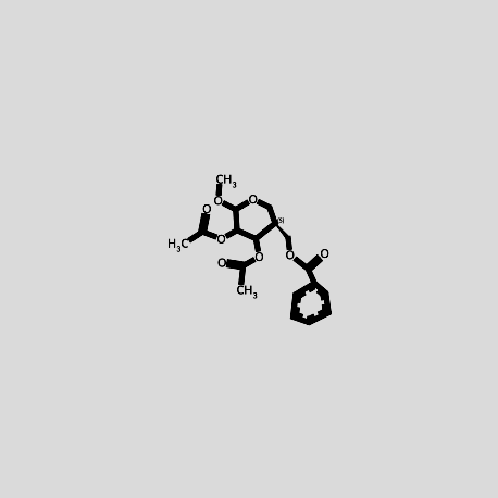 COC1OC[C@@H](COC(=O)c2ccccc2)C(OC(C)=O)C1OC(C)=O